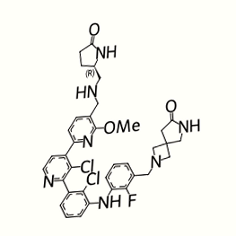 COc1nc(-c2ccnc(-c3cccc(Nc4cccc(CN5CC6(CNC(=O)C6)C5)c4F)c3Cl)c2Cl)ccc1CNC[C@H]1CCC(=O)N1